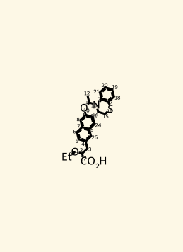 CCOC(Cc1ccc2cc(OC(C)N3CCSc4ccccc43)ccc2c1)C(=O)O